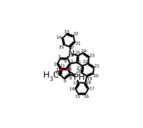 Cc1ccc2c3c1[PH]1(C4=CC=CC4)c4ccccc4-c4ccc5ccc(c3c5c41)n2-c1ccccc1